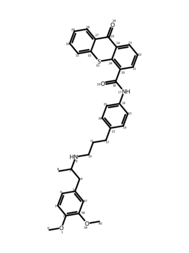 COc1ccc(CC(C)NCCCc2ccc(NC(=O)c3cccc4c(=O)c5ccccc5sc34)cc2)cc1OC